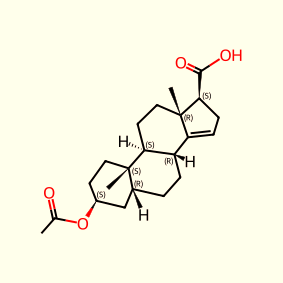 CC(=O)O[C@H]1CC[C@@]2(C)[C@H](CC[C@H]3C4=CC[C@H](C(=O)O)[C@@]4(C)CC[C@@H]32)C1